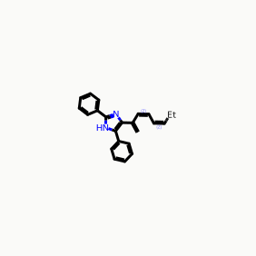 C=C(/C=C\C=C/CC)c1nc(-c2ccccc2)[nH]c1-c1ccccc1